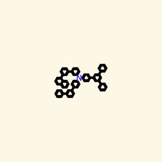 c1ccc(-c2cccc(-c3ccc(N(c4ccc(-c5cc(-c6ccccc6)cc(-c6ccccc6)c5)cc4)c4cccc(-c5cccc(-c6cccc7ccccc67)c5)c4)cc3)c2)cc1